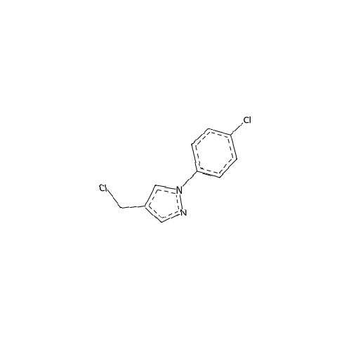 ClCc1cnn(-c2ccc(Cl)cc2)c1